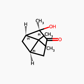 CC1(C)[C@H]2CC(=O)[C@](C)(O)[C@@H]1C2